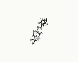 CC(C)(C)N1CCN(CCn2ccnc2)CC1